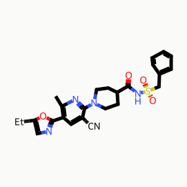 CCc1cnc(-c2cc(C#N)c(N3CCC(C(=O)NS(=O)(=O)Cc4ccccc4)CC3)nc2C)o1